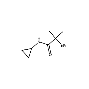 CCCC(C)(C)C(=O)NC1CC1